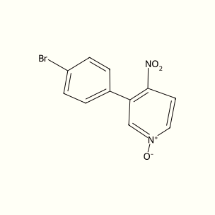 O=[N+]([O-])c1cc[n+]([O-])cc1-c1ccc(Br)cc1